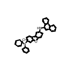 CC1(N(c2ccccc2)c2ccc3c(c2)oc2ccc(Nc4cc5ccccc5c5ccccc45)cc23)C=CC=CC1